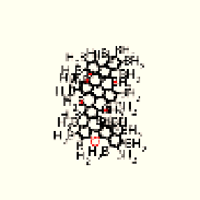 Bc1c(B)c(-c2c(B)c(B)c(B)c3oc4c5c(B)c(B)c(B)c(B)c5c(B)c(B)c4c23)c(B)c(B)c1-c1c2c(B)c(B)c(B)c(B)c2c(-c2c(B)c3c(B)c(B)c(B)c(B)c3c3c(B)c(B)c(B)c(B)c23)c2c(B)c(B)c(B)c(B)c12